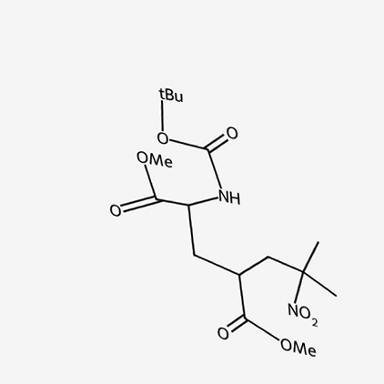 COC(=O)C(CC(NC(=O)OC(C)(C)C)C(=O)OC)CC(C)(C)[N+](=O)[O-]